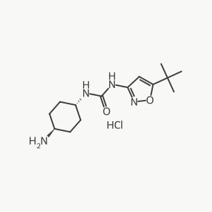 CC(C)(C)c1cc(NC(=O)N[C@H]2CC[C@H](N)CC2)no1.Cl